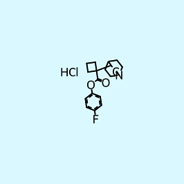 Cl.O=C(Oc1ccc(F)cc1)C1(C2CN3CCC2CC3)CCC1